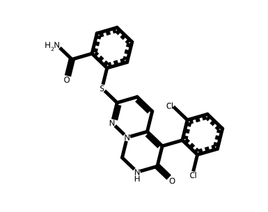 NC(=O)c1ccccc1SC1=NN2CNC(=O)C(c3c(Cl)cccc3Cl)=C2C=C1